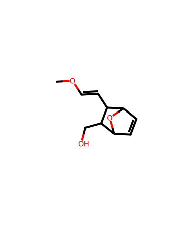 CO/C=C/C1C2C=CC(O2)C1CO